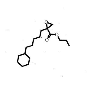 CCCOC(=O)C1(CCCCCC2CCCCC2)CO1